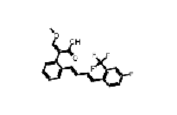 COC=C(C(=O)O)c1ccccc1C=CC=Cc1ccc(F)cc1C(F)(F)F